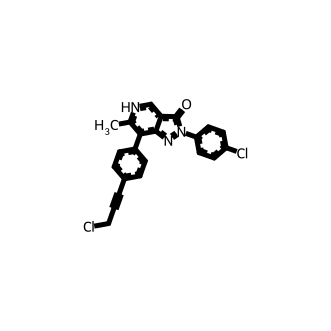 Cc1[nH]cc2c(=O)n(-c3ccc(Cl)cc3)nc-2c1-c1ccc(C#CCCl)cc1